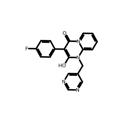 O=c1c(-c2ccc(F)cc2)c(O)n(Cc2cncnc2)c2cccc[n+]12